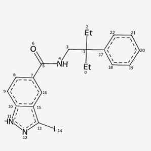 CCC(CC)(CNC(=O)c1ccc2[nH]nc(I)c2c1)c1ccccc1